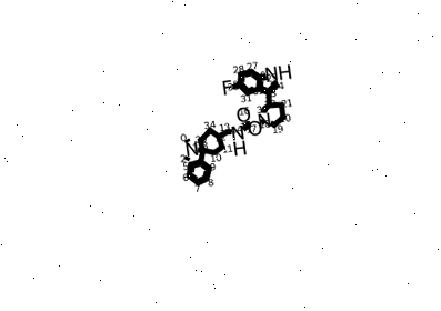 CN(C)C1(c2ccccc2)CCC(CNC(=O)ON2CCCC(c3c[nH]c4ccc(F)cc34)C2)CC1